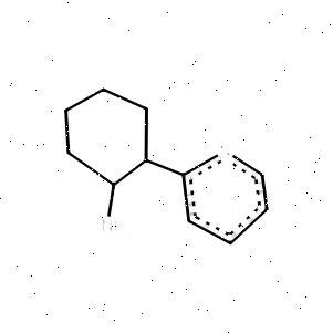 NC1CCCCC1c1ccccn1